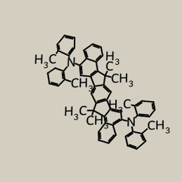 CC1=C(N(c2ccccc2C)c2cc3c(c4ccccc24)C(C)(C)c2cc4c(cc2-3)C(C)(C)c2c-4cc(N(c3ccccc3C)c3ccccc3C)c3ccccc23)CCC=C1